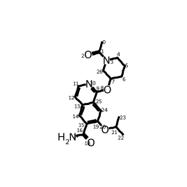 CC(=O)N1CCCC(Oc2nccc3cc(C(N)=O)c(OC(C)C)cc23)C1